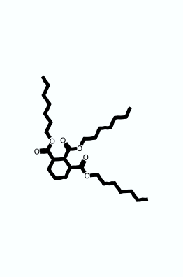 CCCCCCCOC(=O)C1CCCC(C(=O)OCCCCCCC)C1C(=O)OCCCCCCC